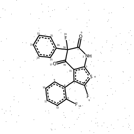 O=C1Nc2sc(F)c(-c3ccccc3F)c2C(=O)C1(F)c1ccccc1